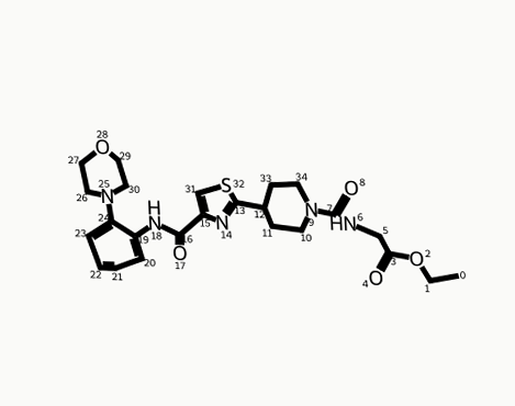 CCOC(=O)CNC(=O)N1CCC(c2nc(C(=O)Nc3ccccc3N3CCOCC3)cs2)CC1